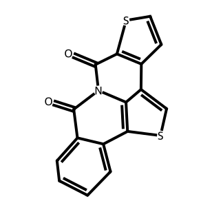 O=c1c2ccccc2c2scc3c4ccsc4c(=O)n1c32